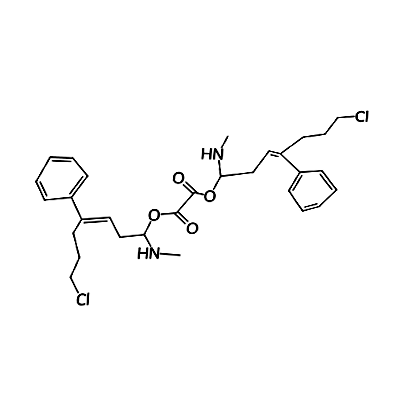 CNC(CC=C(CCCCl)c1ccccc1)OC(=O)C(=O)OC(CC=C(CCCCl)c1ccccc1)NC